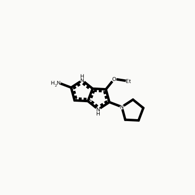 CCOc1c(N2CCCC2)[nH]c2cc(N)[nH]c12